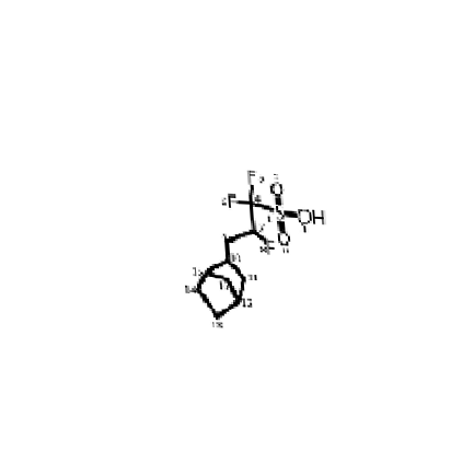 O=S(=O)(O)C(F)(F)C(F)CC1CC2CCC1C2